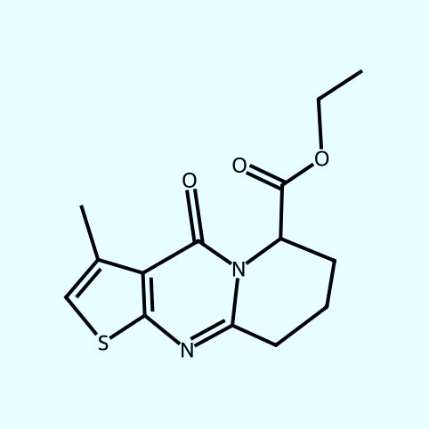 CCOC(=O)C1CCCc2nc3scc(C)c3c(=O)n21